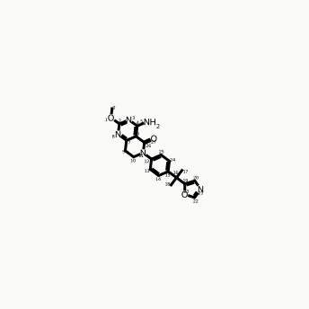 COc1nc(N)c2c(n1)CCN(c1ccc(C(C)(C)c3cnco3)cc1)C2=O